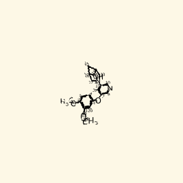 COc1ccc(Oc2cncc(N3CC4CC(C3)N4)c2)cc1OC